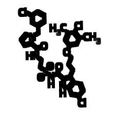 Cc1cc(OCCCc2c(C(=O)NS(=O)(=O)CCNC(=O)c3cccn3Cc3cccc(Cl)c3)[nH]c3cc(Cl)ccc23)cc(C)c1Cl